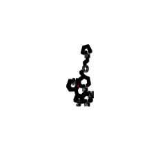 c1cncc(-c2csc3ncnc(N4CCC(COCCN5CCCC5)CC4)c23)c1